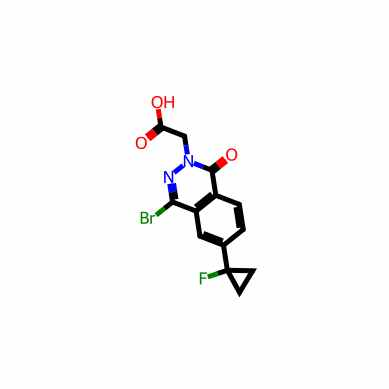 O=C(O)Cn1nc(Br)c2cc(C3(F)CC3)ccc2c1=O